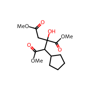 COC(=O)CC(O)(C(=O)OC)C(C(=O)OC)C1CCCC1